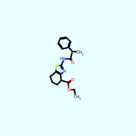 CCOC(=O)C1CCCc2sc(NC(=O)C(C)c3ccccc3)nc21